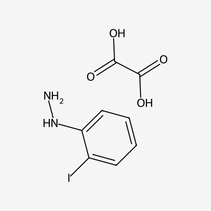 NNc1ccccc1I.O=C(O)C(=O)O